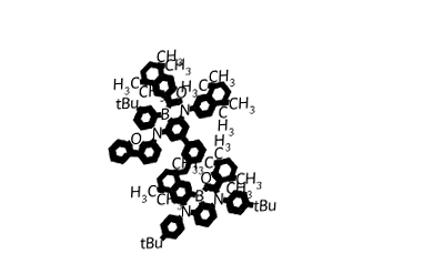 CC(C)(C)c1ccc(N2c3cc4c(cc3B3c5oc6c(c5N(c5ccc(C(C)(C)C)cc5)c5cccc2c53)C(C)(C)CCC6(C)C)C(C)(Cc2cccc(-c3cc5c6c(c3)N(c3cccc7c3oc3ccccc37)c3ccc(C(C)(C)C)cc3B6c3c(oc6cc7c(cc36)C(C)(C)CCC7(C)C)N5c3ccc5c(c3)C(C)(C)CCC5(C)C)c2)CCC4(C)C)cc1